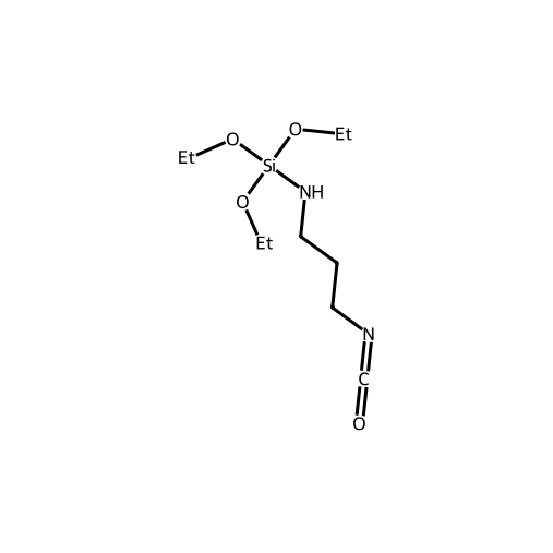 CCO[Si](NCCCN=C=O)(OCC)OCC